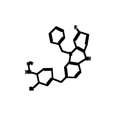 CCCNC1C=CC(Cc2ccc3c(c2)N(Cc2ccccc2)c2cc(F)ccc2N3)=CC1CC